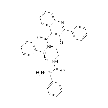 CC[C@H](NC(=O)c1c(OCCNC(=O)[C@@H](N)c2ccccc2)c(-c2ccccc2)nc2ccccc12)c1ccccc1